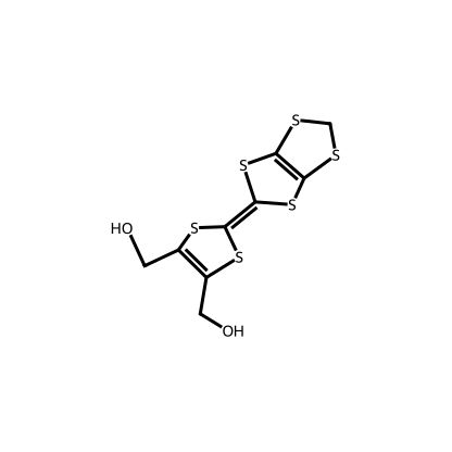 OCC1=C(CO)SC(=C2SC3=C(SCS3)S2)S1